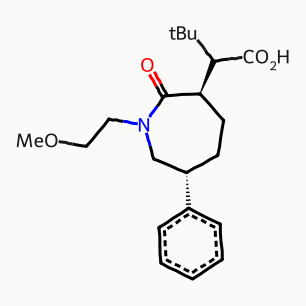 COCCN1C[C@@H](c2ccccc2)CC[C@H](C(C(=O)O)C(C)(C)C)C1=O